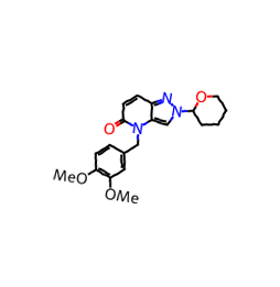 COc1ccc(Cn2c(=O)ccc3nn(C4CCCCO4)cc32)cc1OC